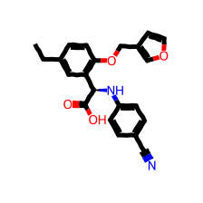 CCc1ccc(OCc2ccoc2)c([C@@H](Nc2ccc(C#N)cc2)C(=O)O)c1